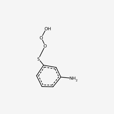 Nc1cccc(SOOO)c1